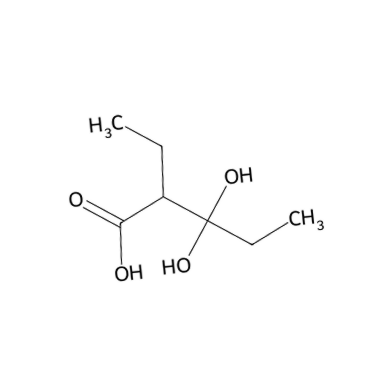 CCC(C(=O)O)C(O)(O)CC